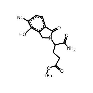 CC(C)(C)OC(=O)CCC(C(N)=O)N1Cc2c(ccc(C#N)c2O)C1=O